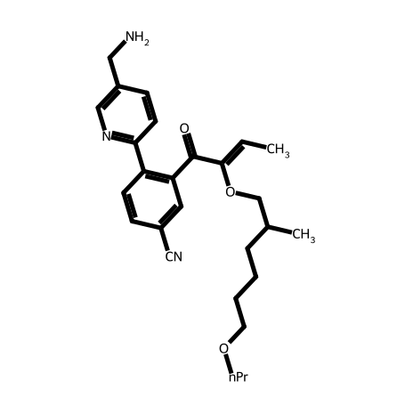 C/C=C(\OCC(C)CCCCOCCC)C(=O)c1cc(C#N)ccc1-c1ccc(CN)cn1